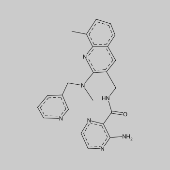 Cc1cccc2cc(CNC(=O)c3nccnc3N)c(N(C)Cc3cccnc3)nc12